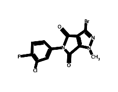 Cn1nc(Br)c2c1C(=O)N(c1ccc(F)c(Cl)c1)C2=O